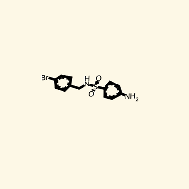 Nc1ccc(S(=O)(=O)NCc2ccc(Br)cc2)cc1